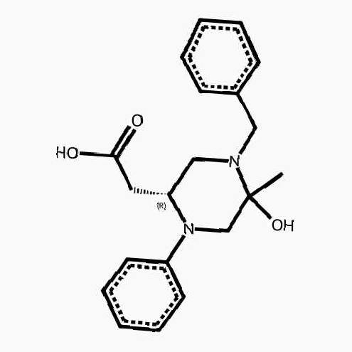 CC1(O)CN(c2ccccc2)[C@H](CC(=O)O)CN1Cc1ccccc1